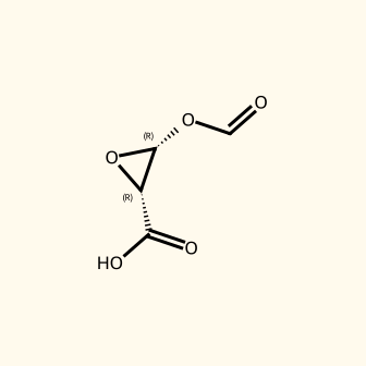 O=CO[C@H]1O[C@H]1C(=O)O